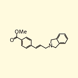 COC(=O)c1ccc(/C=C/CN2Cc3ccccc3C2)cc1